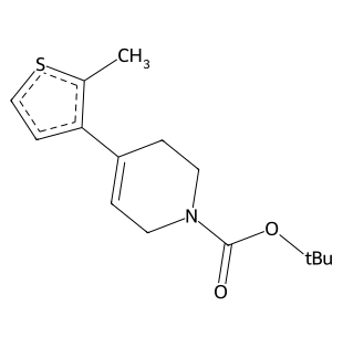 Cc1sccc1C1=CCN(C(=O)OC(C)(C)C)CC1